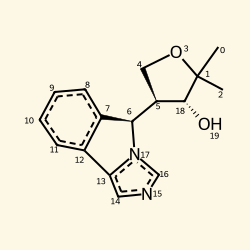 CC1(C)OC[C@H]([C@@H]2c3ccccc3-c3cncn32)[C@H]1O